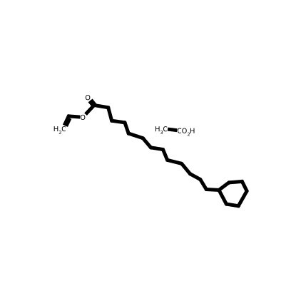 C=COC(=O)CCCCCCCCCCCCC1CCCCC1.CC(=O)O